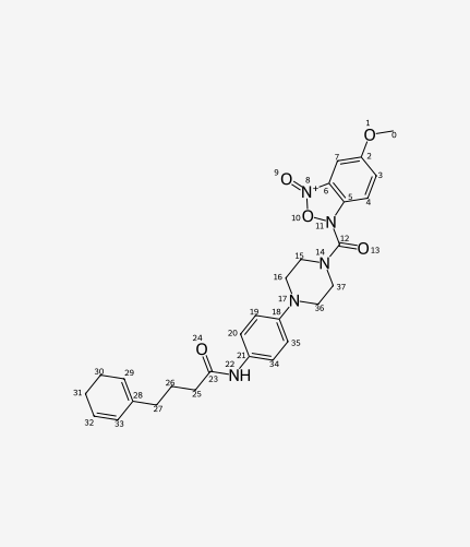 COc1ccc2c(c1)[n+](=O)on2C(=O)N1CCN(c2ccc(NC(=O)CCCC3=CCCC=C3)cc2)CC1